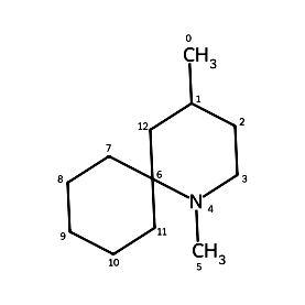 CC1CCN(C)C2(CCCCC2)C1